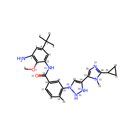 COc1c(N)cc(C(C)(C)C)cc1NC(=O)c1ccc(C)c(N2C=C(c3cnc(C4CC4)n3C)NN2)c1